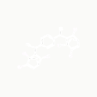 CCC(c1ccc(C(CC)C2C(Cl)C3C=C(Cl)C2(Cl)C3)cc1)C1C(Cl)C2C=C(Cl)C1(Cl)C2